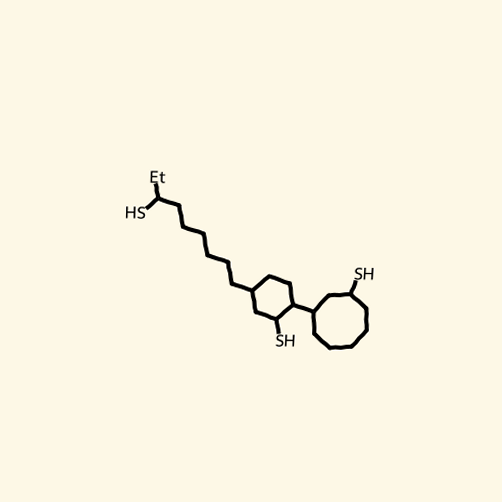 CCC(S)CCCCCCC1CCC(C2CCCCCC(S)C2)C(S)C1